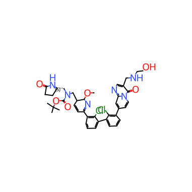 COC1N=C(c2cccc(-c3cccc(-c4ccn5c(=O)c(CNCCO)cnc5c4)c3Cl)c2Cl)C=CC1CN(C[C@@H]1CCC(=O)N1)C(=O)OC(C)(C)C